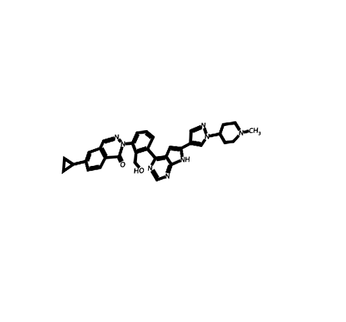 CN1CCC(n2cc(-c3cc4c(-c5cccc(-n6ncc7cc(C8CC8)ccc7c6=O)c5CO)ncnc4[nH]3)cn2)CC1